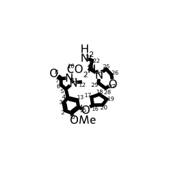 COc1ccc(C2CC(=O)N(C(=O)O)N2C)cc1OC1CCCC1.NCCN1CCOCC1